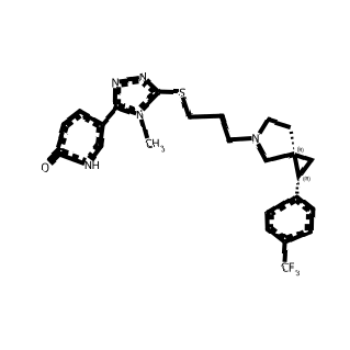 Cn1c(SCCCN2CC[C@@]3(C[C@@H]3c3ccc(C(F)(F)F)cc3)C2)nnc1-c1ccc(=O)[nH]c1